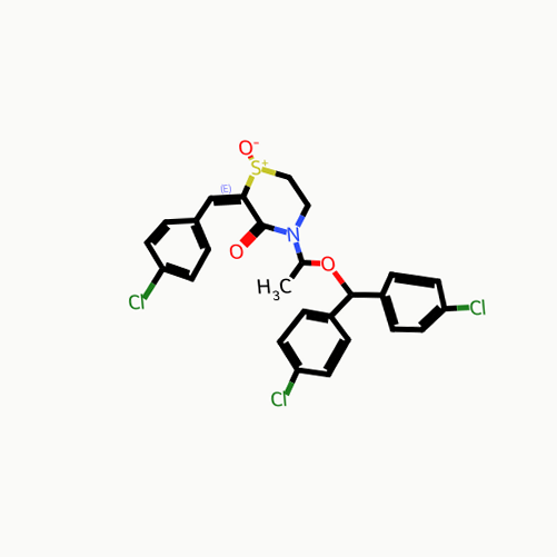 CC(OC(c1ccc(Cl)cc1)c1ccc(Cl)cc1)N1CC[S+]([O-])/C(=C/c2ccc(Cl)cc2)C1=O